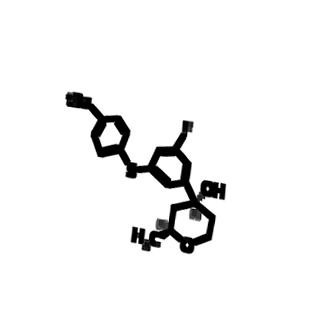 C[C@H]1C[C@@](O)(c2cc(F)cc(Sc3ccc(C(C)(C)C)cc3)c2)CCO1